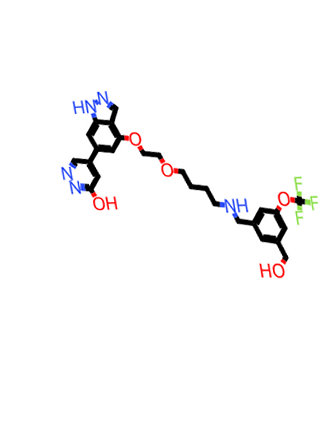 OCc1cc(CNCCCCOCCOc2cc(-c3cnnc(O)c3)cc3[nH]ncc23)cc(OC(F)(F)F)c1